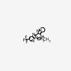 CC[S+]([O-])c1c(-c2nc3cc(C(F)(F)F)cnc3n2C)nn2c1CCCC2